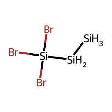 [SiH3][SiH2][Si](Br)(Br)Br